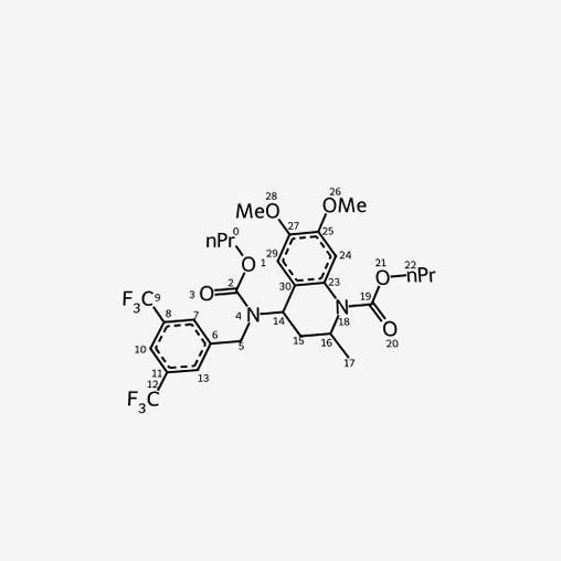 CCCOC(=O)N(Cc1cc(C(F)(F)F)cc(C(F)(F)F)c1)C1CC(C)N(C(=O)OCCC)c2cc(OC)c(OC)cc21